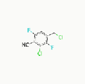 N#Cc1c(F)cc(CCl)c(F)c1Cl